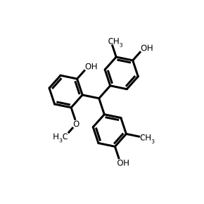 COc1cccc(O)c1C(c1ccc(O)c(C)c1)c1ccc(O)c(C)c1